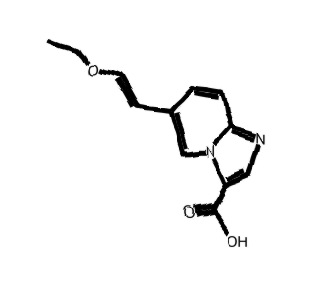 CCO/C=C/c1ccc2ncc(C(=O)O)n2c1